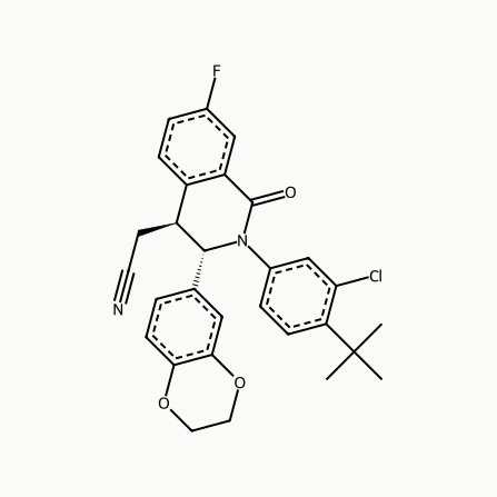 CC(C)(C)c1ccc(N2C(=O)c3cc(F)ccc3[C@H](CC#N)[C@H]2c2ccc3c(c2)OCCO3)cc1Cl